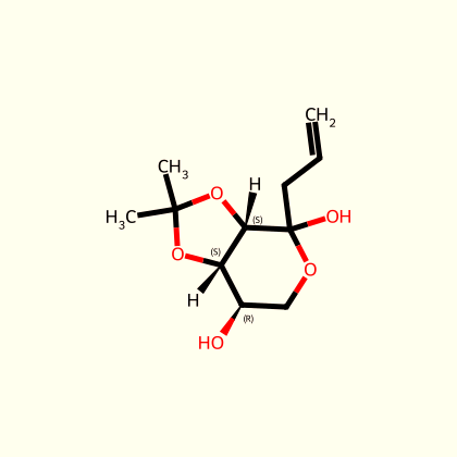 C=CCC1(O)OC[C@@H](O)[C@@H]2OC(C)(C)O[C@@H]21